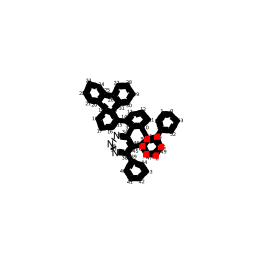 c1ccc(-c2ccccc2-c2cccc(-c3cccc4c5ccccc5c5ccccc5c34)c2-c2nnnc(-c3ccccc3)c2-c2ccccc2)cc1